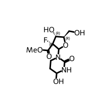 COC(=O)[C@]1(F)C(N2CCC(O)NC2=O)O[C@H](CO)[C@H]1O